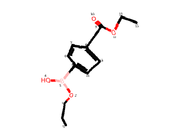 CCOB(O)c1ccc(C(=O)OCC)cc1